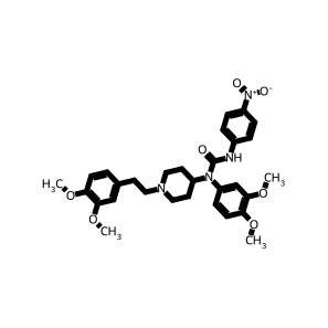 COc1ccc(CCN2CCC(N(C(=O)Nc3ccc([N+](=O)[O-])cc3)c3ccc(OC)c(OC)c3)CC2)cc1OC